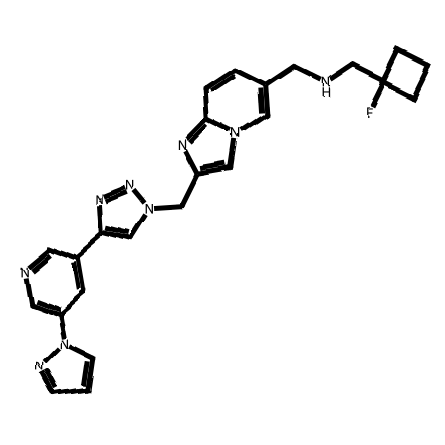 FC1(CNCc2ccc3nc(Cn4cc(-c5cncc(-n6cccn6)c5)nn4)cn3c2)CCC1